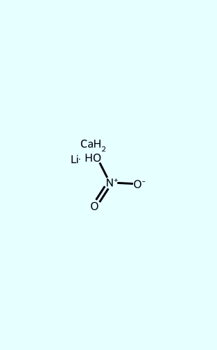 O=[N+]([O-])O.[CaH2].[Li]